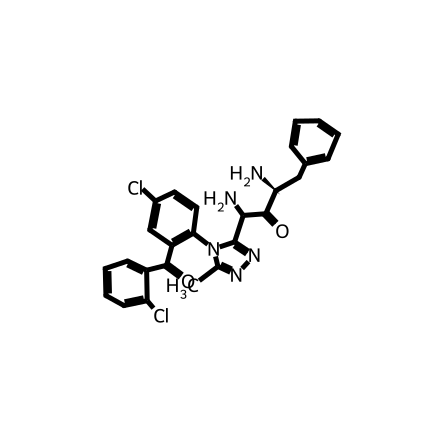 Cc1nnc(C(N)C(=O)[C@@H](N)Cc2ccccc2)n1-c1ccc(Cl)cc1C(=O)c1ccccc1Cl